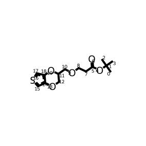 CC(C)(C)OC(=O)CCOCC1COc2cscc2O1